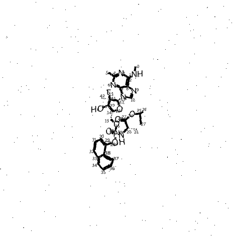 CNc1nc(C)nc2c1ncn2[C@@H]1O[C@H](CO[P@@](=O)(N[C@@H](C)C(=O)OC(C)C)Oc2cccc3ccccc23)[C@@H](O)[C@@]1(C)F